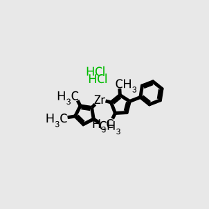 CC1=CC(C)[C]([Zr][C]2=C(C)C(c3ccccc3)=CC2C)=C1C.Cl.Cl